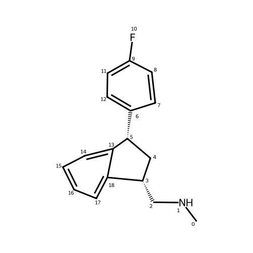 CNC[C@H]1C[C@@H](c2ccc(F)cc2)c2ccccc21